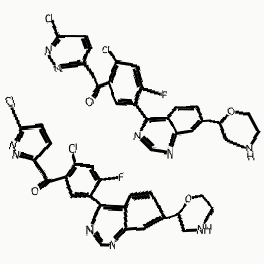 O=C(c1ccc(Cl)nn1)c1cc(-c2ncnc3cc(C4CNCCO4)ccc23)c(F)cc1Cl.O=C(c1ccc(Cl)nn1)c1cc(-c2ncnc3cc(C4CNCCO4)ccc23)c(F)cc1Cl